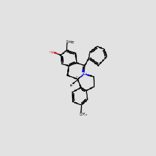 COc1ccc2c(c1)CC[N+]1=C(c3ccccc3)c3cc(OC)c(O)cc3C[C@@H]21